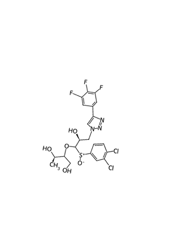 C[C@@H](O)C(CO)OC([C@@H](O)Cn1cc(-c2cc(F)c(F)c(F)c2)nn1)[S+]([O-])c1ccc(Cl)c(Cl)c1